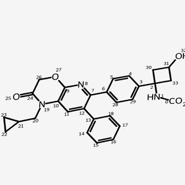 O=C(O)NC1(c2ccc(-c3nc4c(cc3-c3ccccc3)N(CC3CC3)C(=O)CO4)cc2)CC(O)C1